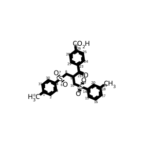 Cc1ccc(S(=O)(=O)CC(CS(=O)(=O)c2cccc(C)c2)C(=O)c2ccc(C(=O)O)cc2)cc1